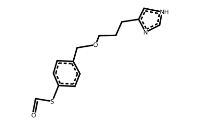 O=CSc1ccc(COCCCc2c[nH]cn2)cc1